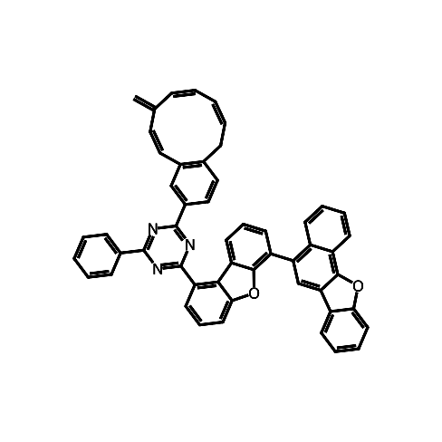 C=C1/C=C\C=C/Cc2ccc(-c3nc(-c4ccccc4)nc(-c4cccc5oc6c(-c7cc8c9ccccc9oc8c8ccccc78)cccc6c45)n3)cc2/C=C\1